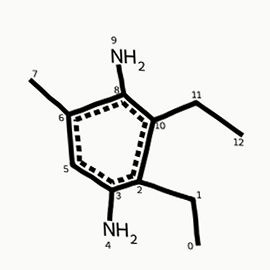 CCc1c(N)cc(C)c(N)c1CC